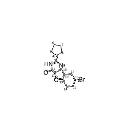 O=c1[nH]c(N2CCCC2)nc2c1oc1ccc(Br)cc12